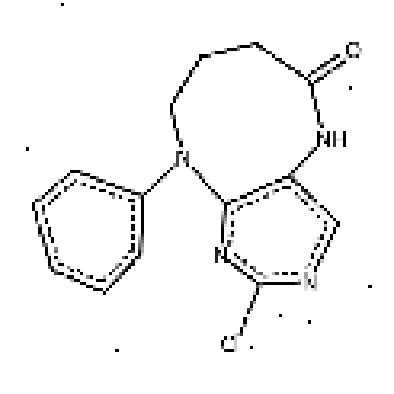 O=C1CCCN(c2ccccc2)c2nc(Cl)ncc2N1